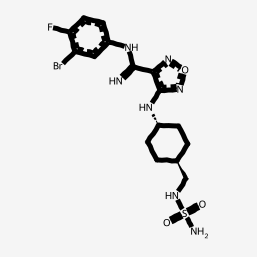 N=C(Nc1ccc(F)c(Br)c1)c1nonc1N[C@H]1CC[C@H](CNS(N)(=O)=O)CC1